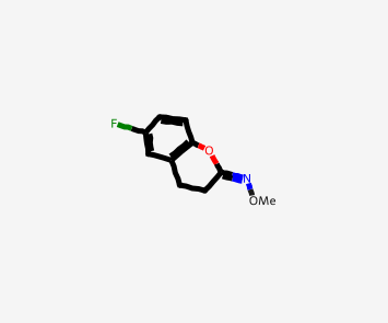 CON=C1CCc2cc(F)ccc2O1